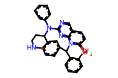 O=c1ccc2cnc(N(c3ccccc3)C3CCNCC3)nc2n1C(c1ccccc1)c1ccccc1C(F)(F)F